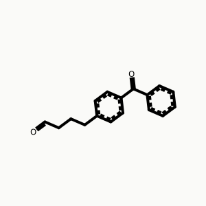 O=CCCCc1ccc(C(=O)c2ccccc2)cc1